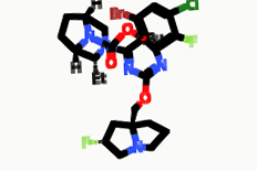 CC[C@@H]1[C@@H]2CC[C@H](CN1c1nc(OC[C@@]34CCCN3C[C@H](F)C4)nc3c(F)c(Cl)cc(Br)c13)N2C(=O)OC(C)(C)C